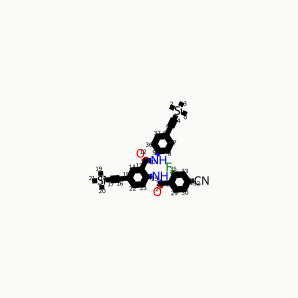 C[Si](C)(C)C#Cc1ccc(NC(=O)c2cc(C#C[Si](C)(C)C)ccc2NC(=O)c2ccc(C#N)cc2F)cc1